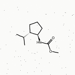 COC(=O)N[C@@H]1CCC[C@H]1C(C)C